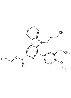 CCCCn1c2ccccc2c2cc(C(=O)OCC)nc(-c3ccc(OC)c(OC)c3)c21